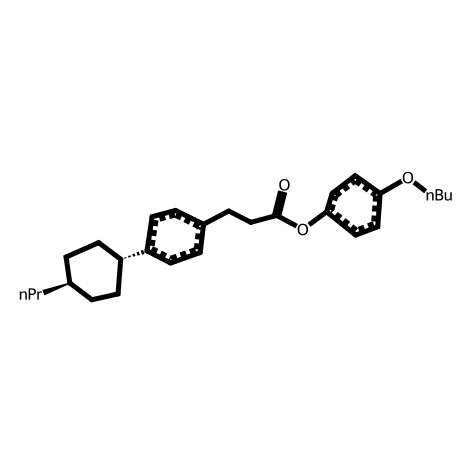 CCCCOc1ccc(OC(=O)CCc2ccc([C@H]3CC[C@H](CCC)CC3)cc2)cc1